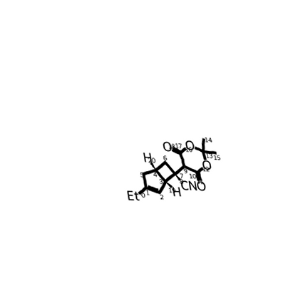 CCC1=C[C@@H]2[C@H](C1)C[C@]2(C#N)C1C(=O)OC(C)(C)OC1=O